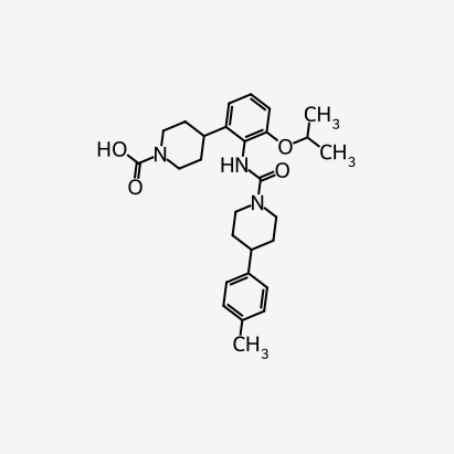 Cc1ccc(C2CCN(C(=O)Nc3c(OC(C)C)cccc3C3CCN(C(=O)O)CC3)CC2)cc1